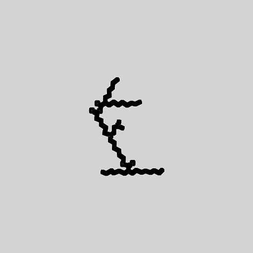 CCCCCCCCC(CCCCCC)C(=O)OCCCCCCN(CCCCCC(=O)OC(=O)C(CCCCCC)CCCCCCCC)CCN(C)C